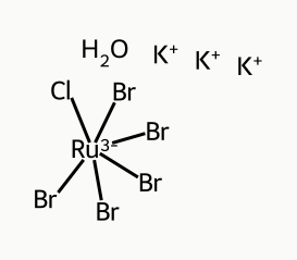 O.[Cl][Ru-3]([Br])([Br])([Br])([Br])[Br].[K+].[K+].[K+]